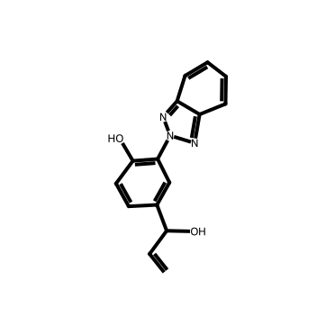 C=CC(O)c1ccc(O)c(-n2nc3ccccc3n2)c1